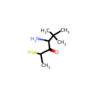 CC(S)C(=O)C(N)C(C)(C)C